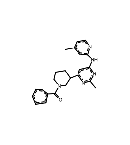 Cc1ccnc(Nc2cc(C3CCCN(C(=O)c4ccccc4)C3)nc(C)n2)c1